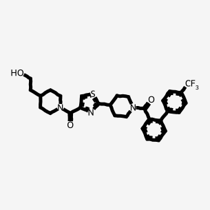 O=C(c1csc(C2CCN(C(=O)c3ccccc3-c3ccc(C(F)(F)F)cc3)CC2)n1)N1CCC(CCO)CC1